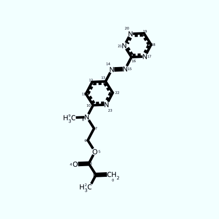 C=C(C)C(=O)OCCN(C)c1ccc(/N=N/c2nccnn2)cn1